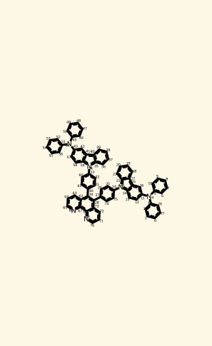 c1ccc(N(c2ccccc2)c2ccc3c(c2)c2ccccc2n3-c2ccc(-c3c(-c4ccc(-n5c6ccccc6c6cc(N(c7ccccc7)c7ccccc7)ccc65)cc4)c4cccnc4c4ncccc34)cc2)cc1